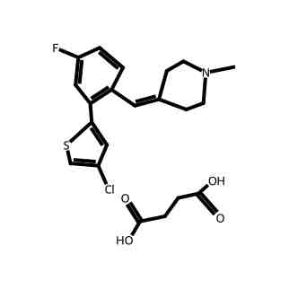 CN1CCC(=Cc2ccc(F)cc2-c2cc(Cl)cs2)CC1.O=C(O)CCC(=O)O